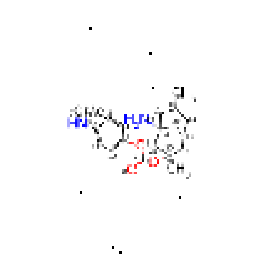 CONc1ccc(OC(=O)OC2(C)CC3CC(C)CC(N)(C3)C2)cc1